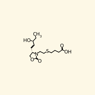 CC[C@H](O)/C=C/[C@H]1COC(=O)N1CCSCCCC(=O)O